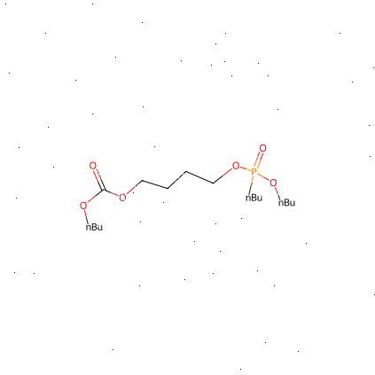 CCCCOC(=O)OCCCCOP(=O)(CCCC)OCCCC